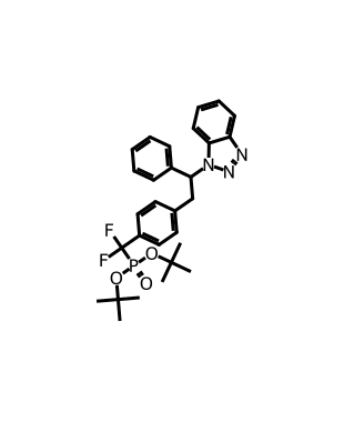 CC(C)(C)OP(=O)(OC(C)(C)C)C(F)(F)c1ccc(CC(c2ccccc2)n2nnc3ccccc32)cc1